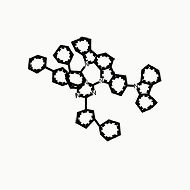 c1ccc(-c2ccc(-c3nc(-c4cccc(-c5ccccc5)c4)nc(-n4c5ccc(-n6c7ccccc7c7ccccc76)cc5c5ccc6c7ccccc7n(-c7ccccc7-c7ccccc7)c6c54)n3)cc2)cc1